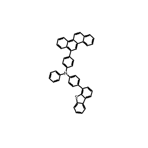 c1ccc(N(c2ccc(-c3cc4c5ccccc5ccc4c4ccccc34)cc2)c2ccc(-c3cccc4c3sc3ccccc34)cc2)cc1